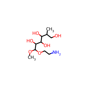 COC(OCCN)C(O)C(O)C(O)C(C)CO